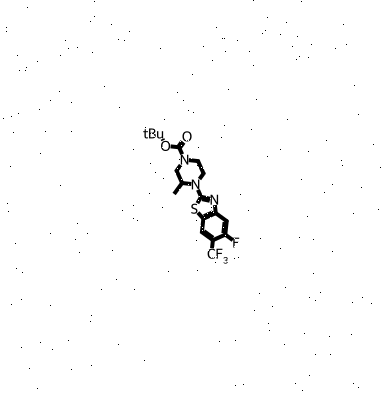 CC1CN(C(=O)OC(C)(C)C)CCN1c1nc2cc(F)c(C(F)(F)F)cc2s1